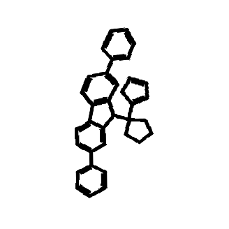 C1=CCC(C2(C3c4cc(-c5ccccc5)ccc4-c4ccc(-c5ccccc5)cc43)CCCC2)=C1